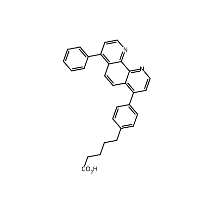 O=C(O)CCCCc1ccc(-c2ccnc3c2ccc2c(-c4ccccc4)ccnc23)cc1